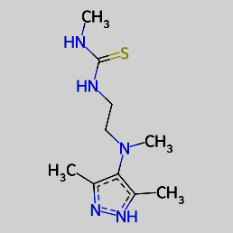 CNC(=S)NCCN(C)c1c(C)n[nH]c1C